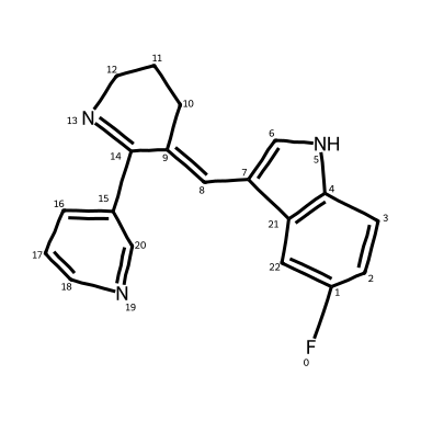 Fc1ccc2[nH]cc(C=C3CCCN=C3c3cccnc3)c2c1